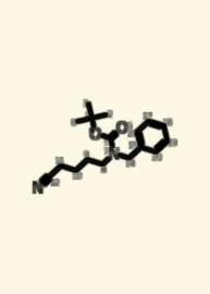 CC(C)(C)OC(=O)N(CCCCC#N)Cc1ccccc1